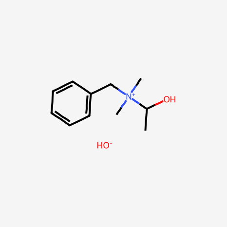 CC(O)[N+](C)(C)Cc1ccccc1.[OH-]